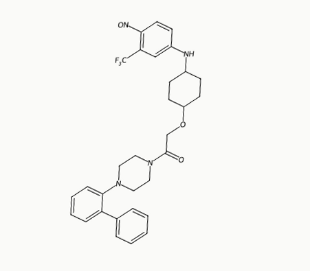 O=Nc1ccc(NC2CCC(OCC(=O)N3CCN(c4ccccc4-c4ccccc4)CC3)CC2)cc1C(F)(F)F